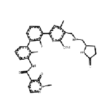 COc1nc(-c2cccc(-c3cccc(NC(=O)c4ccnn(C)c4=O)c3C)c2F)cc(C)c1CNCC1CCC(=O)N1